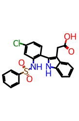 O=C(O)Cc1c(-c2ccc(Cl)cc2NS(=O)(=O)c2ccccc2)[nH]c2ccccc12